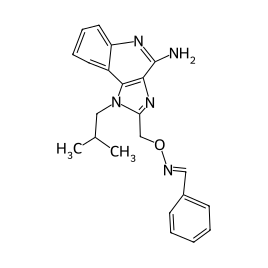 CC(C)Cn1c(CON=Cc2ccccc2)nc2c(N)nc3ccccc3c21